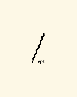 C=CC=CCCC=CCCCCCCCCCCCC